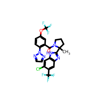 CC1(c2nc3cc(C(F)(F)F)c(Cl)cc3[nH]2)CCCN1C(=O)c1cc(OC(F)(F)F)ccc1-n1nccn1